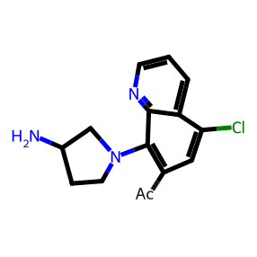 CC(=O)c1cc(Cl)c2cccnc2c1N1CCC(N)C1